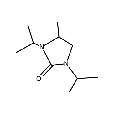 CC(C)N1CC(C)N(C(C)C)C1=O